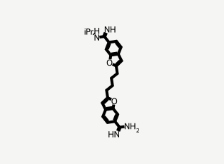 CC(C)NC(=N)c1ccc2cc(CCCCc3cc4ccc(C(=N)N)cc4o3)oc2c1